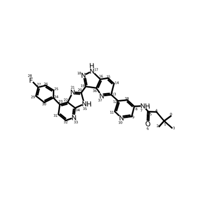 CC(C)(C)CC(=O)Nc1cncc(-c2ccc3[nH]nc(-c4nc5c(-c6ccc(F)cc6)ccnc5[nH]4)c3n2)c1